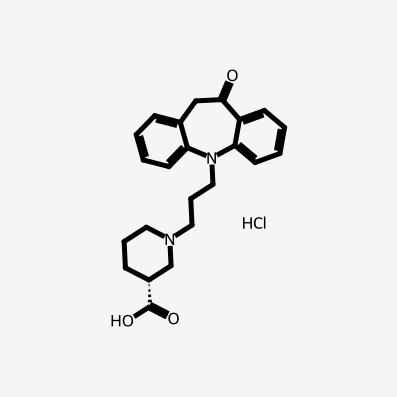 Cl.O=C1Cc2ccccc2N(CCCN2CCC[C@@H](C(=O)O)C2)c2ccccc21